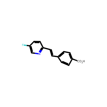 O=C(O)c1ccc(C=Cc2ccc(F)cn2)cc1